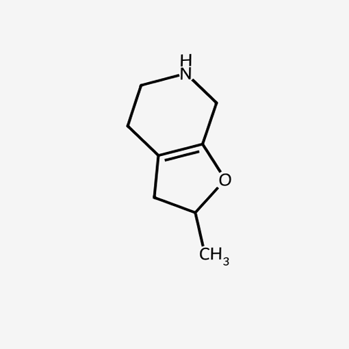 CC1CC2=C(CNCC2)O1